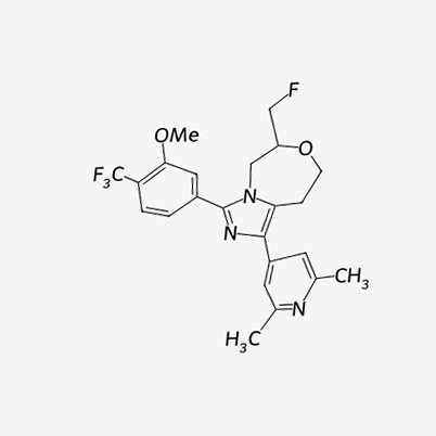 COc1cc(-c2nc(-c3cc(C)nc(C)c3)c3n2CC(CF)OCC3)ccc1C(F)(F)F